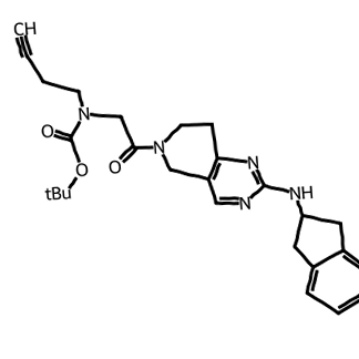 C#CCCN(CC(=O)N1CCc2nc(NC3Cc4ccccc4C3)ncc2C1)C(=O)OC(C)(C)C